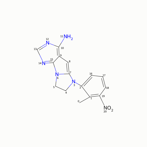 Cc1c(N2CCn3c2cc2c(N)ncnc23)cccc1[N+](=O)[O-]